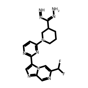 N=N/C(=N\N)C1CCCN(c2ccnc(-c3cnc4cnc(C(F)F)cn34)n2)C1